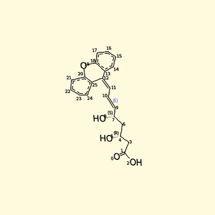 O=C(O)C[C@H](O)C[C@H](O)/C=C/C=C1c2ccccc2Oc2ccccc21